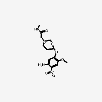 CNC(=O)CN1CCC(Oc2cc(N)c([N+](=O)[O-])cc2OC)CC1